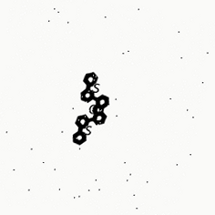 c1ccc2c(c1)sc1c(-c3cccc4c3oc3c(-c5cccc6c5sc5ccccc56)cccc34)cccc12